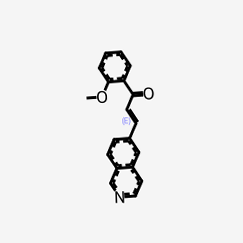 COc1ccccc1C(=O)/C=C/c1ccc2cnccc2c1